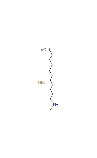 Br.CCCCCCCCCCCCCCCCCCN(C)C